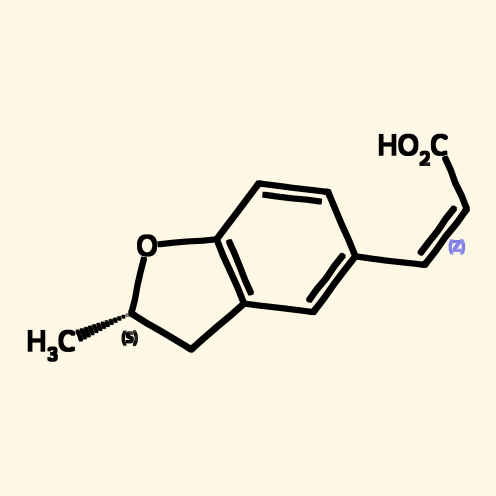 C[C@H]1Cc2cc(/C=C\C(=O)O)ccc2O1